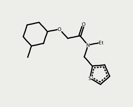 CCN(Cc1cccs1)C(=O)COC1CCCC(C)C1